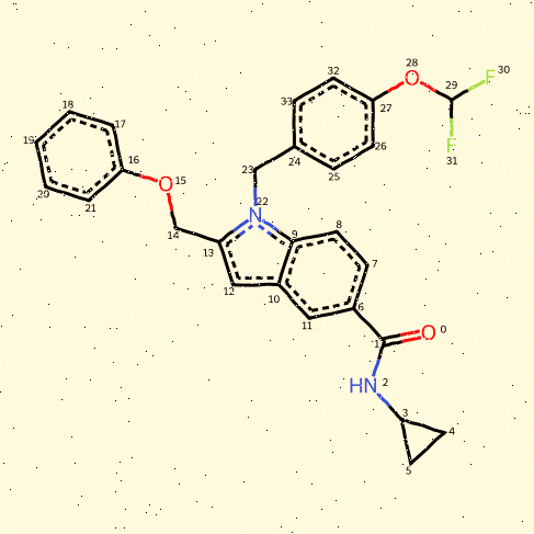 O=C(NC1CC1)c1ccc2c(c1)cc(COc1ccccc1)n2Cc1ccc(OC(F)F)cc1